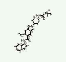 COc1cc2nn(C3CCC(NC(=O)OC(C)(C)C)CC3)cc2cc1C(=O)Nc1cnn2cnccc12